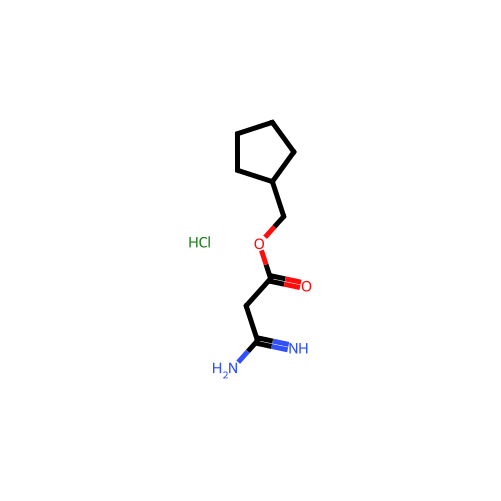 Cl.N=C(N)CC(=O)OCC1CCCC1